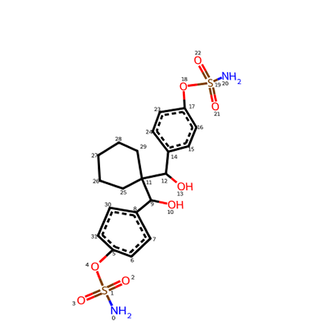 NS(=O)(=O)Oc1ccc(C(O)C2(C(O)c3ccc(OS(N)(=O)=O)cc3)CCCCC2)cc1